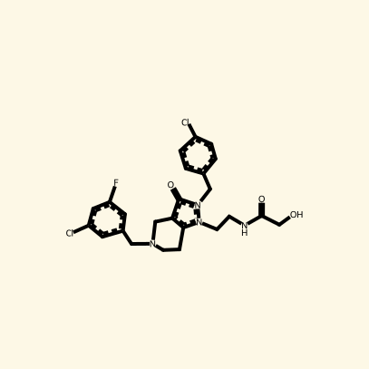 O=C(CO)NCCn1c2c(c(=O)n1Cc1ccc(Cl)cc1)CN(Cc1cc(F)cc(Cl)c1)CC2